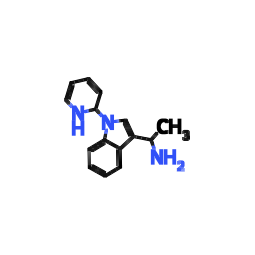 CC(N)c1cn(C2C=CC=CN2)c2ccccc12